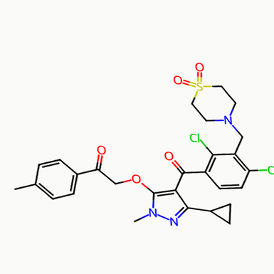 Cc1ccc(C(=O)COc2c(C(=O)c3ccc(Cl)c(CN4CCS(=O)(=O)CC4)c3Cl)c(C3CC3)nn2C)cc1